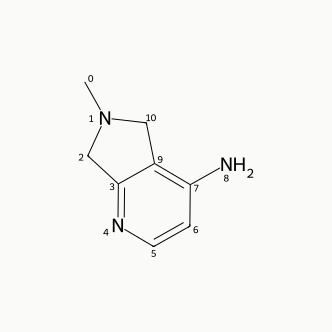 CN1Cc2nccc(N)c2C1